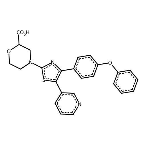 O=C(O)C1CN(c2nc(-c3ccc(Oc4ccccc4)cc3)c(-c3cccnc3)s2)CCO1